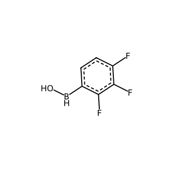 OBc1ccc(F)c(F)c1F